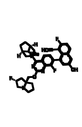 C#Cc1c(F)ccc2cc(O)cc(-c3ccc4c(N5C[C@H]6CC[C@@H](C5)C6SC)nc(OC[C@@]56CCCN5C[C@H](F)C6)nc4c3F)c12